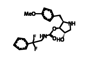 COc1ccc(C[C@H]2NC[C@H](O)[C@H]2OC(=O)NCC(F)(F)c2ccccc2)cc1